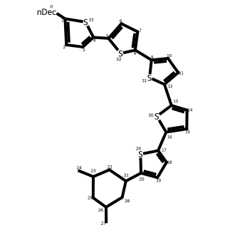 CCCCCCCCCCc1ccc(-c2ccc(-c3ccc(-c4ccc(-c5ccc(C6CC(C)CC(C)C6)s5)s4)s3)s2)s1